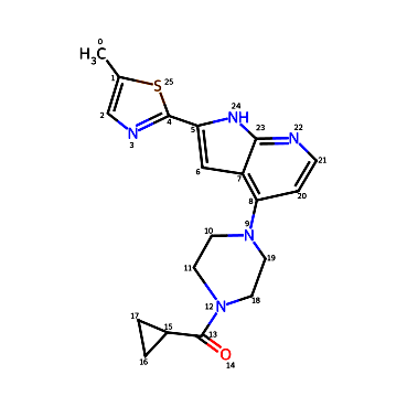 Cc1cnc(-c2cc3c(N4CCN(C(=O)C5CC5)CC4)ccnc3[nH]2)s1